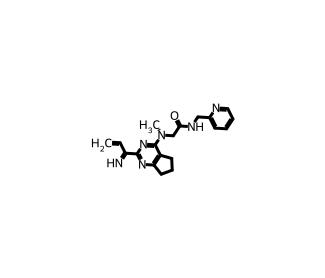 C=CC(=N)c1nc2c(c(N(C)CC(=O)NCc3ccccn3)n1)CCC2